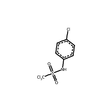 O=S(=O)(Nc1ccc(Cl)cc1)C(Cl)(Cl)Cl